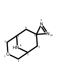 C1OCC2CC3(CC1N2)N=N3